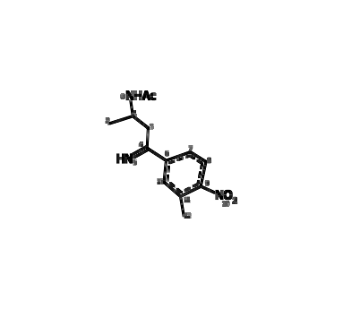 CC(=O)NC(C)CC(=N)c1ccc([N+](=O)[O-])c(C)c1